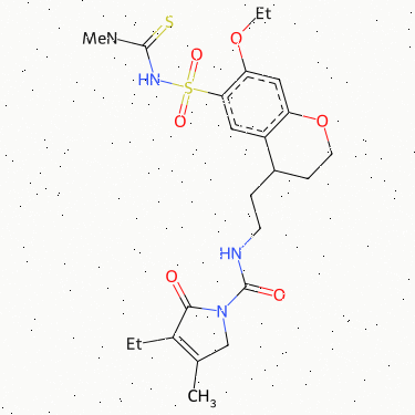 CCOc1cc2c(cc1S(=O)(=O)NC(=S)NC)C(CCNC(=O)N1CC(C)=C(CC)C1=O)CCO2